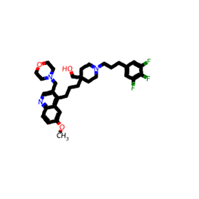 COc1ccc2ncc(CN3CCOCC3)c(CCCC3(CO)CCN(CCCc4cc(F)c(F)c(F)c4)CC3)c2c1